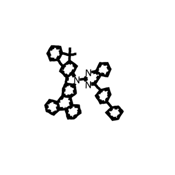 CC1(C)c2ccccc2-c2cc3c4cc5c6ccccc6c6ccccc6c5cc4n(-c4nc(-c5ccc(-c6ccccc6)cc5)c5ccccc5n4)c3cc21